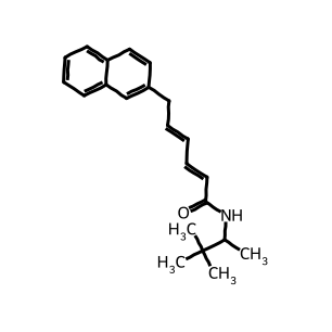 CC(NC(=O)/C=C/C=C/Cc1ccc2ccccc2c1)C(C)(C)C